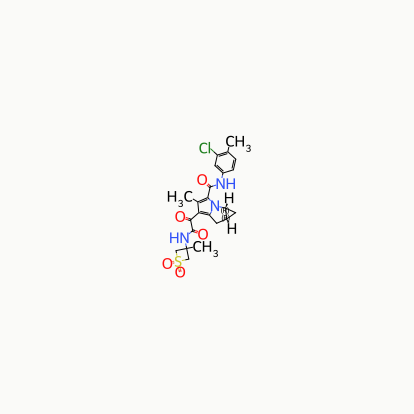 Cc1ccc(NC(=O)c2c(C)c(C(=O)C(=O)NC3(C)CS(=O)(=O)C3)c3n2[C@@H]2C[C@@H]2C3)cc1Cl